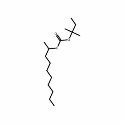 CCCCCCCCC(C)OC(=O)OC(C)(C)CC